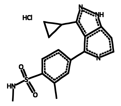 CNS(=O)(=O)c1ccc(-c2nccc3[nH]nc(C4CC4)c23)cc1C.Cl